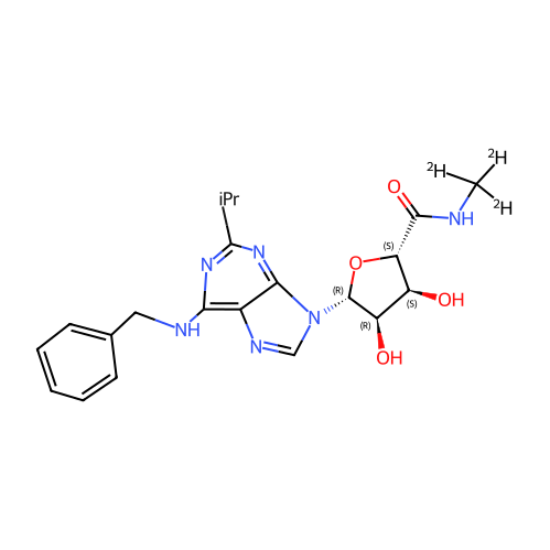 [2H]C([2H])([2H])NC(=O)[C@H]1O[C@@H](n2cnc3c(NCc4ccccc4)nc(C(C)C)nc32)[C@H](O)[C@@H]1O